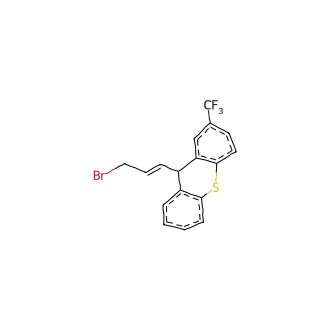 FC(F)(F)c1ccc2c(c1)C(/C=C/CBr)c1ccccc1S2